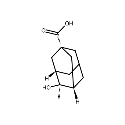 C[C@]1(O)[C@H]2CC3C[C@H]1C[C@](C(=O)O)(C3)C2